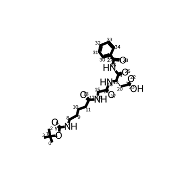 CC(C)(C)OC(=O)NCCCCC(=O)NCC(=O)N[C@@H](CC(=O)O)C(=O)NC(=O)c1ccccc1